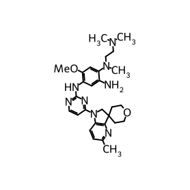 COc1cc(N(C)CCN(C)C)c(N)cc1Nc1nccc(N2CC3(CCOCC3)c3nc(C)ccc32)n1